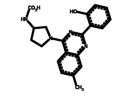 Cc1ccc2c(N3CCC(NC(=O)O)C3)nc(-c3ccccc3O)nc2c1